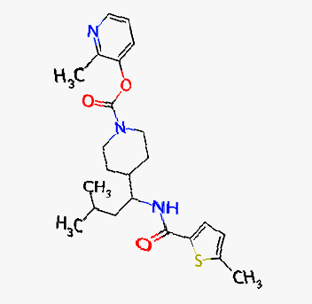 Cc1ccc(C(=O)NC(CC(C)C)C2CCN(C(=O)Oc3cccnc3C)CC2)s1